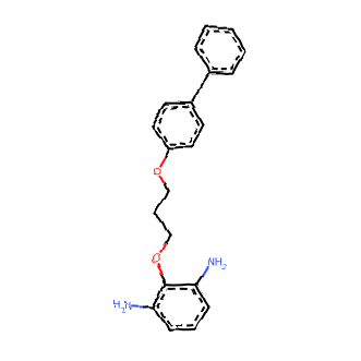 Nc1cccc(N)c1OCCCOc1ccc(-c2ccccc2)cc1